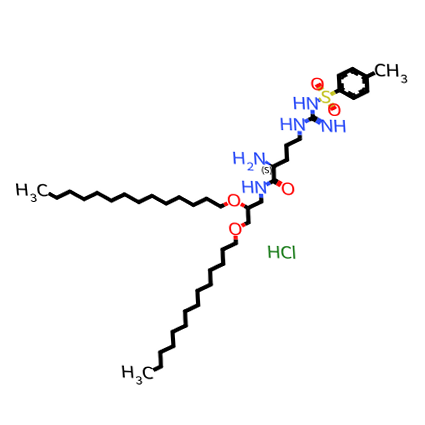 CCCCCCCCCCCCCCOCC(CNC(=O)[C@@H](N)CCCNC(=N)NS(=O)(=O)c1ccc(C)cc1)OCCCCCCCCCCCCCC.Cl